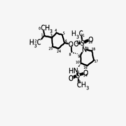 CC(C)C1CCC(OC[C@H]2[C@@H](NS(C)(=O)=O)CCCN2S(C)(=O)=O)CC1